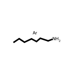 CCCCCCCN.[Ar]